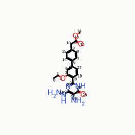 CCOc1cc(-c2ccc(CC(=O)OC)cc2)ccc1-c1nc(NN)c(N)c(=O)[nH]1